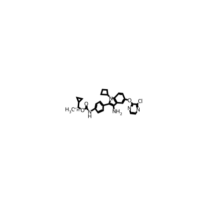 C[C@@H](OC(=O)Nc1ccc(-c2c(N)c3cc(Oc4nccnc4Cl)ccc3n2C2CCC2)cc1)C1CC1